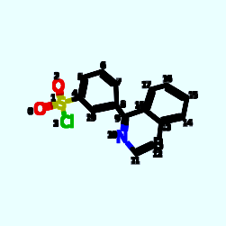 O=S(=O)(Cl)c1cccc(-c2ncbc3ccccc23)c1